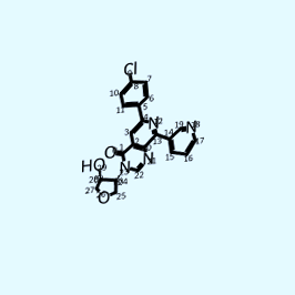 O=c1c2cc(-c3ccc(Cl)cc3)nc(-c3cccnc3)c2ncn1[C@@H]1COC[C@H]1O